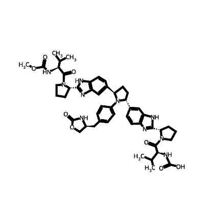 COC(=O)N[C@H](C(=O)N1CCC[C@H]1c1nc2cc([C@H]3CC[C@H](c4ccc5nc([C@@H]6CCCN6C(=O)[C@@H](NC(=O)O)C(C)C)[nH]c5c4)N3c3ccc(C[C@H]4COC(=O)N4)cc3)ccc2[nH]1)C(C)C